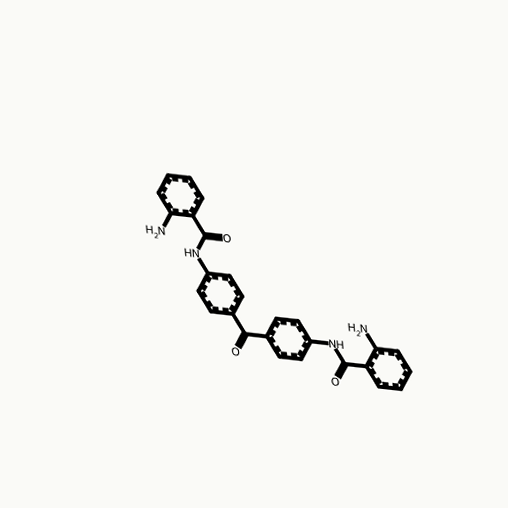 Nc1ccccc1C(=O)Nc1ccc(C(=O)c2ccc(NC(=O)c3ccccc3N)cc2)cc1